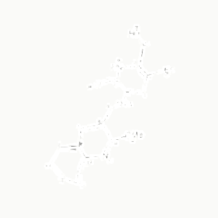 CCc1cc(NCc2cc3ccccc3nc2OC)c(=O)[nH]c1CO